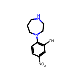 N#Cc1cc([N+](=O)[O-])ccc1N1CCCNCC1